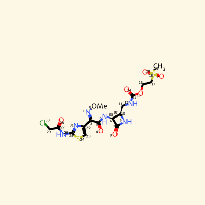 CON=C(C(=O)N[C@@H]1C(=O)N[C@@H]1CNC(=O)OCCS(C)(=O)=O)c1csc(NC(=O)CCl)n1